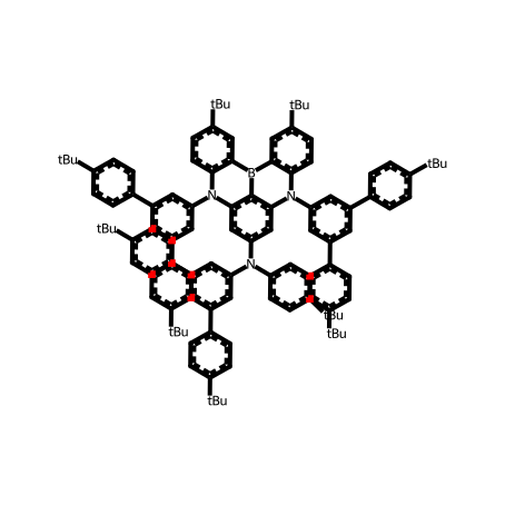 CC(C)(C)c1ccc(-c2cc(-c3ccc(C(C)(C)C)cc3)cc(N(c3ccc(C(C)(C)C)cc3)c3cc4c5c(c3)N(c3cc(-c6ccc(C(C)(C)C)cc6)cc(-c6ccc(C(C)(C)C)cc6)c3)c3ccc(C(C)(C)C)cc3B5c3cc(C(C)(C)C)ccc3N4c3cc(-c4ccc(C(C)(C)C)cc4)cc(-c4ccc(C(C)(C)C)cc4)c3)c2)cc1